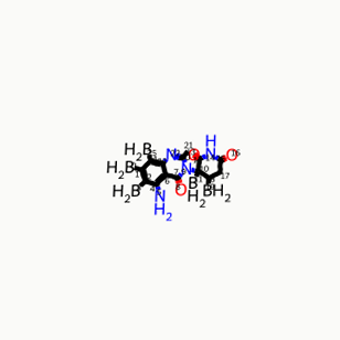 Bc1c(B)c(N)c2c(=O)n(C3(B)C(=O)NC(=O)CC3B)c(C)nc2c1B